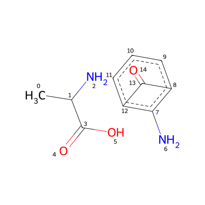 CC(N)C(=O)O.Nc1c2cccc1C2=O